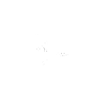 COCCN(Cc1cccs1)S(=O)(=O)c1ccccc1